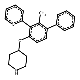 Cc1c(-c2ccccc2)ccc(OC2CCNCC2)c1-c1ccccn1